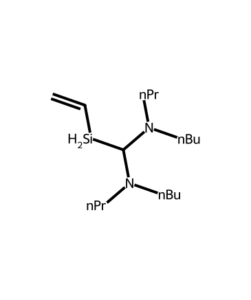 C=C[SiH2]C(N(CCC)CCCC)N(CCC)CCCC